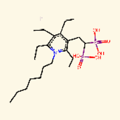 CCCCCCC[n+]1c(CC)c(CC)c(CC)c(CC(P(=O)(O)O)P(=O)(O)O)c1CC.[I-]